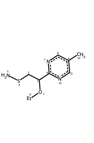 CCOC(CSN)c1ncc(C)cn1